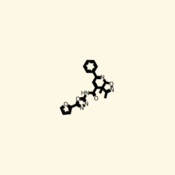 CC1=NOC2N=C(c3ccccc3)C=C(C(=O)Nc3nnc(-c4ccco4)o3)C12C